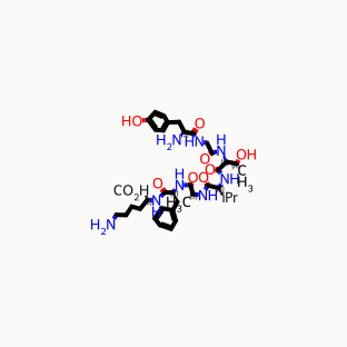 CC(C)[C@H](NC(=O)[C@@H](NC(=O)CNC(=O)[C@@H](N)Cc1ccc(O)cc1)[C@@H](C)O)C(=O)N[C@@H](C)C(=O)N[C@@H](Cc1ccccc1)C(=O)N[C@@H](CCCCN)C(=O)O